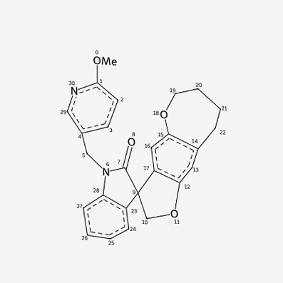 COc1ccc(CN2C(=O)C3(COc4cc5c(cc43)OCCCC5)c3ccccc32)cn1